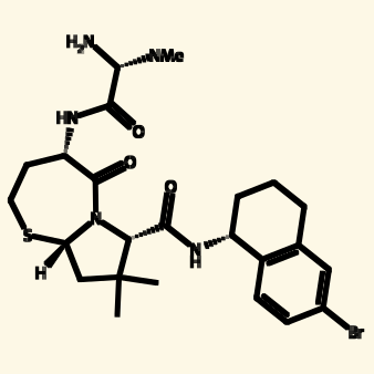 CN[C@@H](N)C(=O)N[C@H]1CCS[C@H]2CC(C)(C)[C@@H](C(=O)N[C@@H]3CCCc4cc(Br)ccc43)N2C1=O